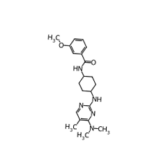 COc1cccc(C(=O)NC2CCC(Nc3ncc(C)c(N(C)C)n3)CC2)c1